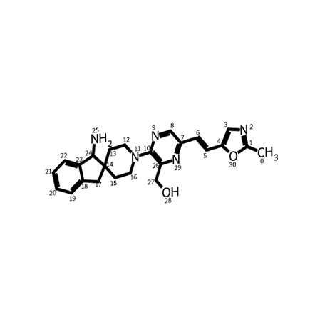 Cc1ncc(C=Cc2cnc(N3CCC4(CC3)Cc3ccccc3C4N)c(CO)n2)o1